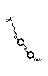 CCC(C)C(=O)OCCCCOc1ccc(/N=N/c2ccc(OC)cc2)cc1